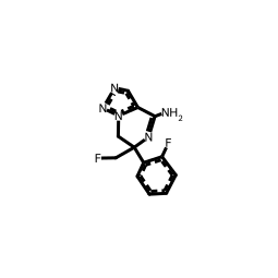 NC1=NC(CF)(c2ccccc2F)Cn2nncc21